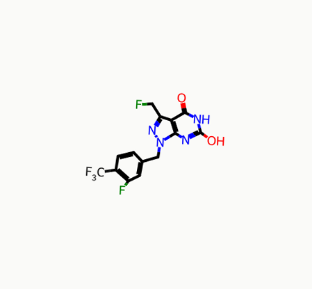 O=c1[nH]c(O)nc2c1c(CF)nn2Cc1ccc(C(F)(F)F)c(F)c1